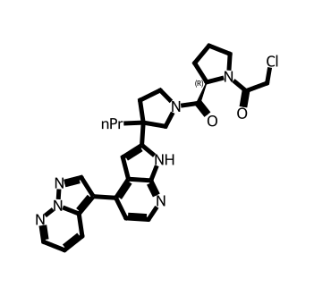 CCCC1(c2cc3c(-c4cnn5ncccc45)ccnc3[nH]2)CCN(C(=O)[C@H]2CCCN2C(=O)CCl)C1